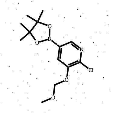 COCOc1cc(B2OC(C)(C)C(C)(C)O2)cnc1Cl